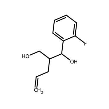 C=CCC(CO)C(O)c1ccccc1F